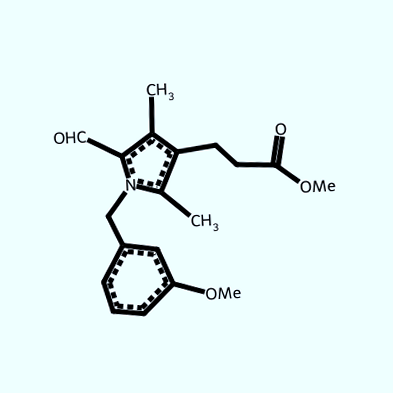 COC(=O)CCc1c(C)c(C=O)n(Cc2cccc(OC)c2)c1C